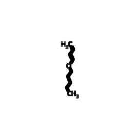 C=CC=COCCCCC